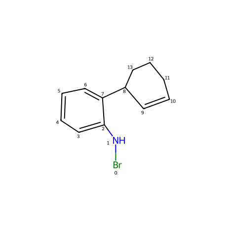 BrNc1ccccc1C1C=CCCC1